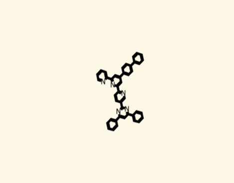 c1ccc(-c2ccc(-c3cc(-c4ccccn4)nc(-c4ccc(-c5nc(-c6ccccc6)cc(-c6ccccc6)n5)cn4)c3)cc2)cc1